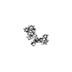 c1ccc(-c2nc(-c3cccc(-n4c5ccccc5c5ccc6c(c54)-c4ccccc4C64c5ccccc5-c5ccccc54)c3)nc(-c3ccc4c(c3)oc3cccc(-c5ccccc5)c34)n2)cc1